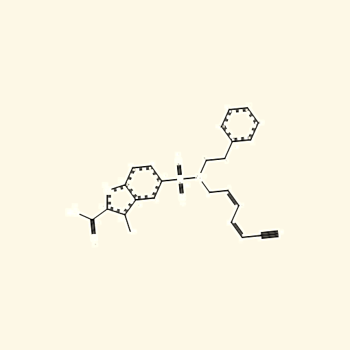 C#C/C=C\C=C/CN(CCc1ccccc1)S(=O)(=O)c1ccc2oc(C(=O)O)c(C)c2c1